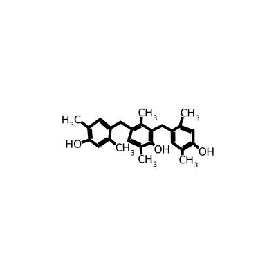 Cc1cc(Cc2cc(C)c(O)c(Cc3cc(C)c(O)cc3C)c2C)c(C)cc1O